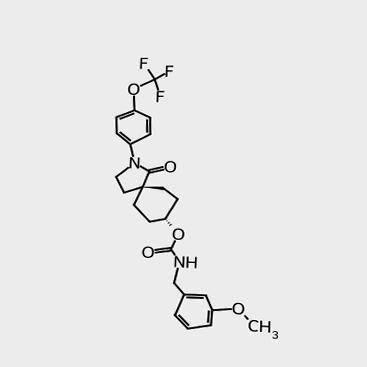 COc1cccc(CNC(=O)O[C@H]2CC[C@]3(CCN(c4ccc(OC(F)(F)F)cc4)C3=O)CC2)c1